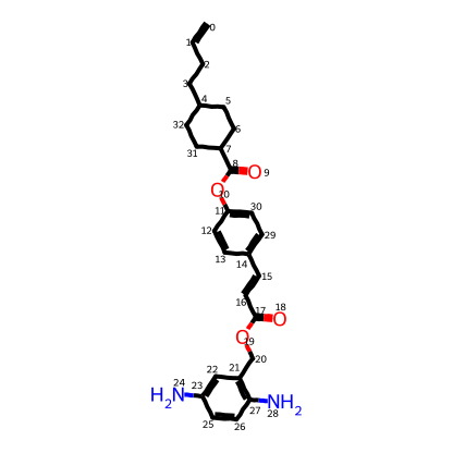 C=CCCC1CCC(C(=O)Oc2ccc(/C=C/C(=O)OCc3cc(N)ccc3N)cc2)CC1